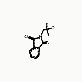 CC(C)([O])CN1C(=O)c2ccccc2C1=O